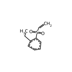 C=CS(=O)(=O)c1ccccc1CC